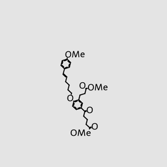 COC(=O)CCCC(=O)c1ccc(OCCCCC=Cc2ccc(OC)cc2)c(CCC(=O)OC)c1